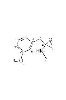 CNC1(Cc2cccc(OC)c2)CC1